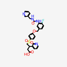 O=C(O)CC(CS(=O)(=O)c1ccc(OCc2ccc(F)c(NC(=O)NCc3cccnc3)c2)cc1)c1cccnc1